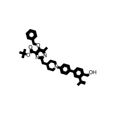 C=C(C)c1cc(-c2ccc(N3CCC(Cc4nc(C)c(OCc5ccccc5)c(C(=O)OC(C)(C)C)n4)CC3)cc2)ccc1CO